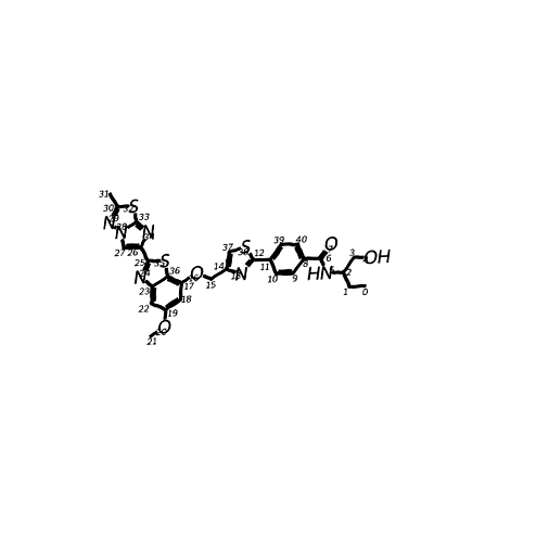 CCC(CO)NC(=O)c1ccc(-c2nc(COc3cc(OC)cc4nc(-c5cn6nc(C)sc6n5)sc34)cs2)cc1